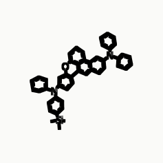 C[Si](C)(C)c1ccc(N(c2ccccc2)c2ccc3c(c2)Oc2cccc4c2c-3cc2ccc(N(c3ccccc3)c3ccccc3)cc24)cc1